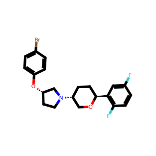 Fc1ccc(F)c([C@@H]2CC[C@@H](N3CC[C@H](Oc4ccc(Br)cc4)C3)CO2)c1